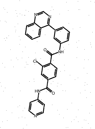 O=C(Nc1ccncc1)c1ccc(C(=O)Nc2cccc(-c3ncnc4ccccc34)c2)c(Cl)c1